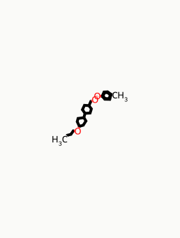 CCCCOC1CCC(C2CCC(COOc3ccc(C)cc3)CC2)CC1